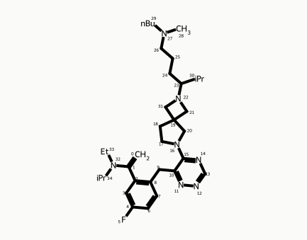 C=C(c1cc(F)ccc1Cc1nncnc1N1CCC2(C1)CN(C(CCCN(C)CCCC)C(C)C)C2)N(CC)C(C)C